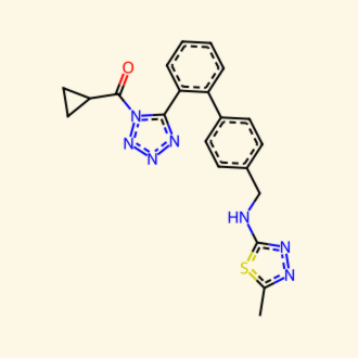 Cc1nnc(NCc2ccc(-c3ccccc3-c3nnnn3C(=O)C3CC3)cc2)s1